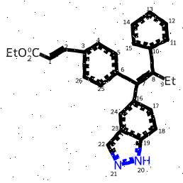 CCOC(=O)/C=C/c1ccc(/C(=C(/CC)c2ccccc2)c2ccc3[nH]ncc3c2)cc1